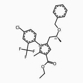 CCOC(=O)c1cc(C[C@H](C)OCc2ccccc2)n(-c2ccc(Cl)cc2C(F)(F)F)c1C